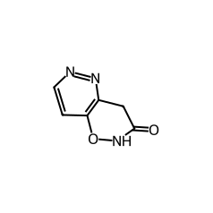 O=C1Cc2nnccc2ON1